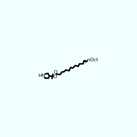 CCCCCCCC/C=C/CCCCCCCCCCCC(=O)OC(C)(C)C1CCNCC1